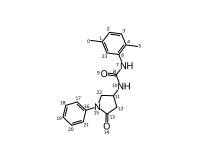 Cc1ccc(C)c(NC(=O)NC2CC(=O)N(c3ccccc3)C2)c1